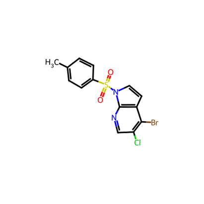 Cc1ccc(S(=O)(=O)n2ccc3c(Br)c(Cl)cnc32)cc1